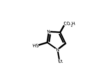 CCn1cc(C(=O)O)nc1S